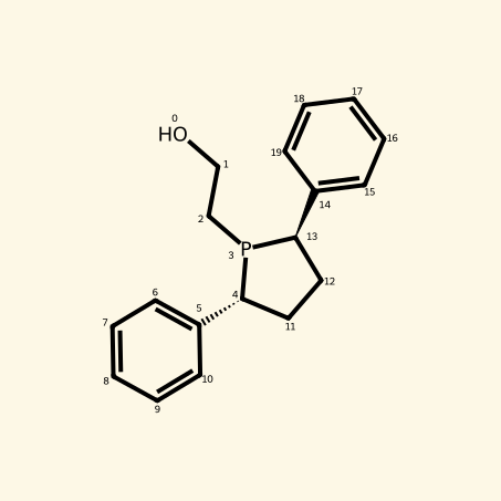 OCCP1[C@@H](c2ccccc2)CC[C@@H]1c1ccccc1